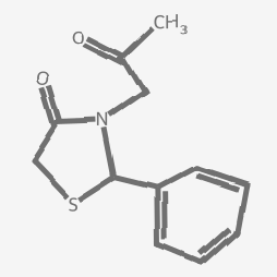 CC(=O)CN1C(=O)CSC1c1ccccc1